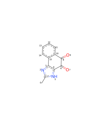 Cc1nc2c([nH]1)C(=O)C(=O)c1ccccc1-2